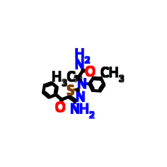 Cc1cccc(N(c2nc(N)c(C(=O)c3ccccc3)s2)[C@H](C)C(N)=O)c1